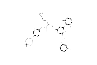 Cc1cccc(C)c1-c1cc(OCC(CCC2CC2)NCc2ncc(N3CCC(C)(C)CC3)cn2)nc(NSc2cccc(C(=O)O)c2)n1